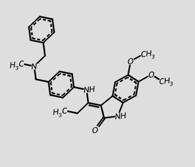 CCC(Nc1ccc(CN(C)Cc2ccccc2)cc1)=C1C(=O)Nc2cc(OC)c(OC)cc21